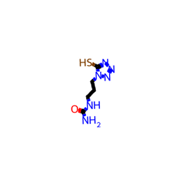 NC(=O)NCCCn1nnnc1S